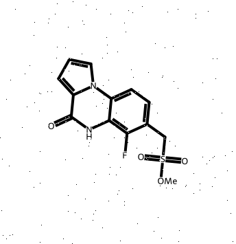 COS(=O)(=O)Cc1ccc2c([nH]c(=O)c3cccn32)c1F